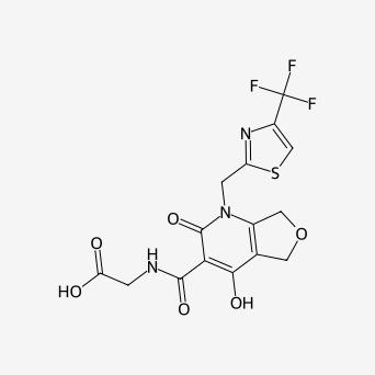 O=C(O)CNC(=O)c1c(O)c2c(n(Cc3nc(C(F)(F)F)cs3)c1=O)COC2